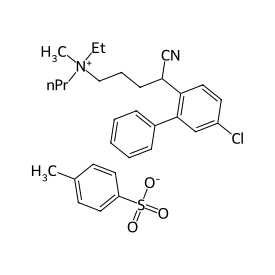 CCC[N+](C)(CC)CCCC(C#N)c1ccc(Cl)cc1-c1ccccc1.Cc1ccc(S(=O)(=O)[O-])cc1